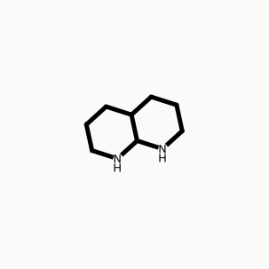 C1CNC2NCCCC2C1